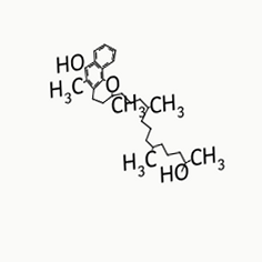 Cc1c2c(c3ccccc3c1O)OC(C)(CCCC(C)CCCC(C)CCCC(C)O)CC2